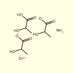 CC(O)C(=O)O.CC(O)C(=O)[O-].CC(O)C(=O)[O-].N.[Zn+2]